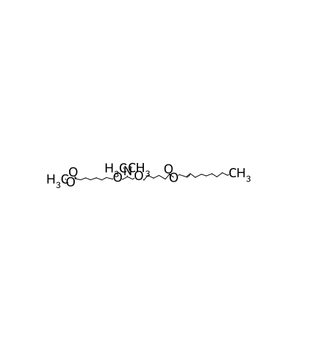 CCCCCCCCC=CCOC(=O)CCCCCOCC(COCCCCCCCC(=O)OC)N(C)C